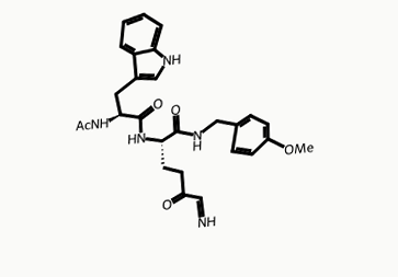 COc1ccc(CNC(=O)[C@H](CCC(=O)C=N)NC(=O)[C@H](Cc2c[nH]c3ccccc23)NC(C)=O)cc1